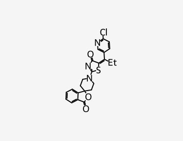 CC/C(=C1\SC(N2CCC3(CC2)OC(=O)c2ccccc23)=NC1=O)c1ccc(Cl)nc1